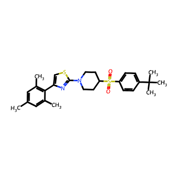 Cc1cc(C)c(-c2csc(N3CCC(S(=O)(=O)c4ccc(C(C)(C)C)cc4)CC3)n2)c(C)c1